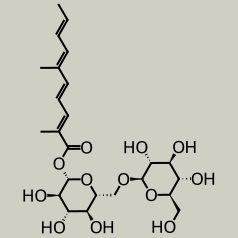 C/C=C/C=C(C)/C=C/C=C(\C)C(=O)O[C@@H]1O[C@H](CO[C@@H]2O[C@H](CO)[C@@H](O)[C@H](O)[C@H]2O)[C@@H](O)[C@H](O)[C@H]1O